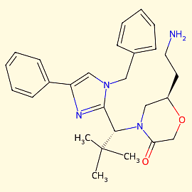 CC(C)(C)[C@H](c1nc(-c2ccccc2)cn1Cc1ccccc1)N1C[C@@H](CCN)OCC1=O